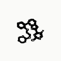 Fc1cnc(Cl)nc1-c1cc2cccc(-c3ccccc3OCCOC3CCCCO3)c2s1